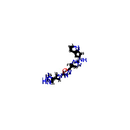 c1cnc2c(c1)CC(Nc1ncc(-c3nnc(N4CC(c5c[nH]nn5)C4)o3)cn1)C2